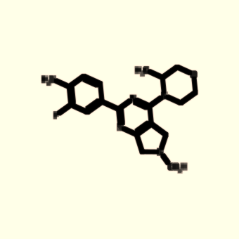 CC1COCCN1c1nc(-c2ccc(N)c(F)c2)nc2c1CN(C(=O)O)C2